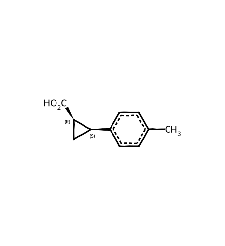 Cc1ccc([C@H]2C[C@H]2C(=O)O)cc1